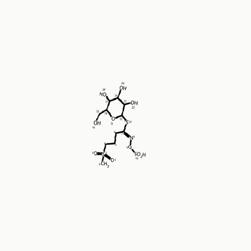 CS(=O)(=O)CCC/C(=N\OS(=O)(=O)O)SC1OC(CO)C(O)C(O)C1O